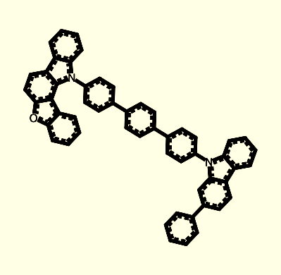 c1ccc(-c2ccc3c4ccccc4n(-c4ccc(-c5ccc(-c6ccc(-n7c8ccccc8c8ccc9oc%10ccccc%10c9c87)cc6)cc5)cc4)c3c2)cc1